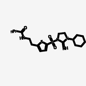 CCCC(=O)NCCc1ccc(S(=O)(=O)N2CCN(C3CCCCC3)C2=N)s1